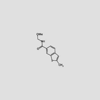 COCNC(=O)c1ccc2cc(C)sc2c1